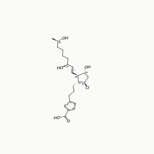 C[C@@H](O)CCCC[C@H](O)/C=C/[C@@H]1[C@@H](CCCc2ccc(C(=O)O)s2)[C@H](Cl)C[C@H]1O